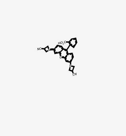 N#CC1CN(c2ccc3c(-c4ccccc4C(=O)O)c4ccc(=[N+]5CC(C#N)C5)cc-4oc3c2)C1